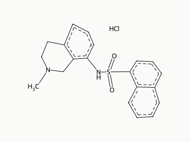 CN1CCc2cccc(NS(=O)(=O)c3cccc4ccccc34)c2C1.Cl